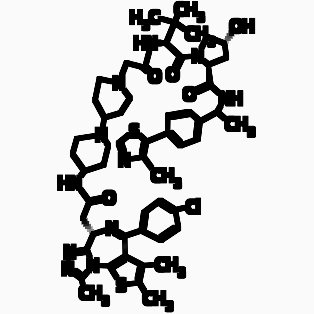 Cc1ncsc1-c1ccc(C(C)NC(=O)[C@@H]2C[C@@H](O)CN2C(=O)[C@@H](NC(=O)CN2CCC(N3CCC(NC(=O)C[C@@H]4N=C(c5ccc(Cl)cc5)c5c(sc(C)c5C)-n5c(C)nnc54)CC3)CC2)C(C)(C)C)cc1